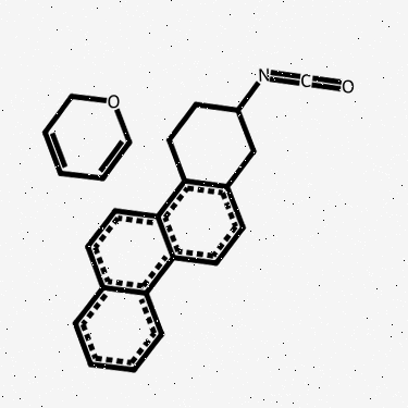 C1=CCOC=C1.O=C=NC1CCc2c(ccc3c2ccc2ccccc23)C1